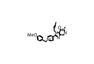 CC#CCn1c(-c2cc[n+](Cc3ccc(OC)cc3)cc2)nc2cnn(C)c(=O)c21